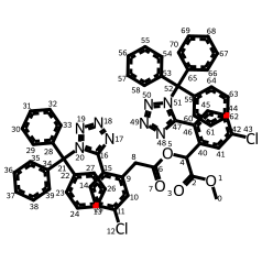 COC(=O)C(OC(=O)Cc1cc(Cl)ccc1-c1nnnn1C(c1ccccc1)(c1ccccc1)c1ccccc1)c1cc(Cl)ccc1-c1nnnn1C(c1ccccc1)(c1ccccc1)c1ccccc1